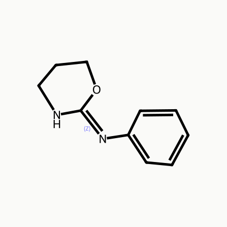 c1ccc(/N=C2/NCCCO2)cc1